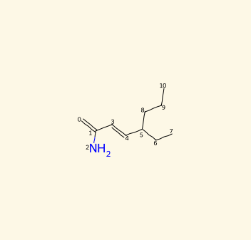 C=C(N)/C=C/C(CC)CCC